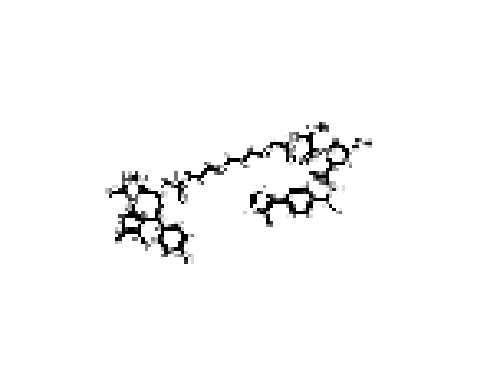 Cc1ncsc1-c1ccc([C@H](C)NC(=O)C2C[C@@H](O)CN2C(=O)C(NC(=O)COCCCOCCNC(=O)C[C@@H]2N=C(c3ccc(Cl)cc3)c3c(sc(C)c3C)-n3c(C)nnc32)C(C)(C)C)cc1